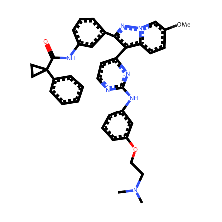 COc1ccc2c(-c3ccnc(Nc4cccc(OCCN(C)C)c4)n3)c(-c3cccc(NC(=O)C4(c5ccccc5)CC4)c3)nn2c1